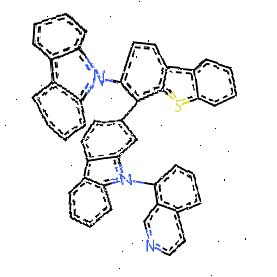 c1cc(-n2c3ccccc3c3ccc(-c4c(-n5c6ccccc6c6ccccc65)ccc5c4sc4ccccc45)cc32)c2cnccc2c1